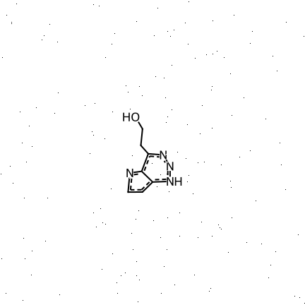 OCCc1nn[nH]c2ccnc1-2